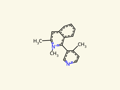 Cc1ccncc1-c1c2ccccc2cc(C)[n+]1C